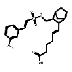 Cc1cccc(C=CS(=O)(=O)NCC2C3CCC(C3)C2C=CCCCC(=O)O)c1